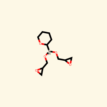 C1CCC([SiH](OCC2CO2)OCC2CO2)OC1